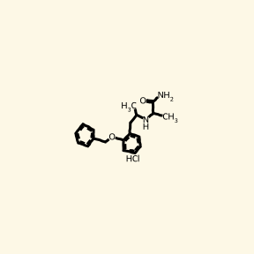 CC(Cc1ccccc1OCc1ccccc1)NC(C)C(N)=O.Cl